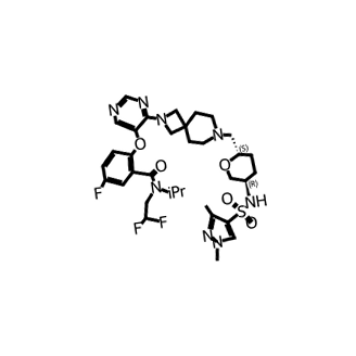 Cc1nn(C)cc1S(=O)(=O)N[C@@H]1CC[C@@H](CN2CCC3(CC2)CN(c2ncncc2Oc2ccc(F)cc2C(=O)N(CC(F)F)C(C)C)C3)OC1